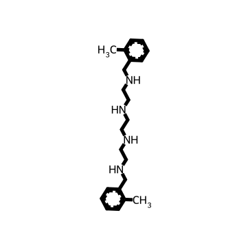 Cc1ccccc1CNCCNCCNCCNCc1ccccc1C